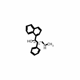 CNC[C@H](c1ccccc1)[C@@H](O)c1cccc2ccccc12